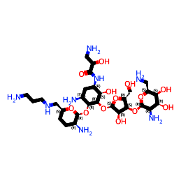 NCCCNC[C@@H]1CC[C@@H](N)[C@@H](O[C@H]2[C@H](O[C@@H]3O[C@H](CO)[C@@H](O[C@H]4O[C@@H](CN)[C@@H](O)[C@H](O)[C@H]4N)[C@H]3O)[C@@H](O)[C@H](NC(=O)C(O)CN)C[C@@H]2N)O1